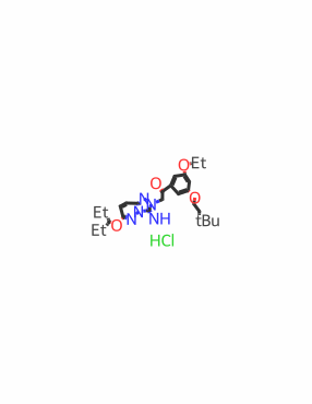 CCOc1cc(OCCC(C)(C)C)cc(C(=O)Cn2nc3ccc(OC(CC)CC)nn3c2=N)c1.Cl